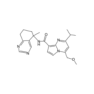 COCc1cc(C(C)C)nc2c(C(=O)NC3(C)CCCc4ncncc43)ccn12